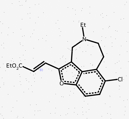 CCOC(=O)/C=C/c1oc2ccc(Cl)c3c2c1CN(CC)CC3